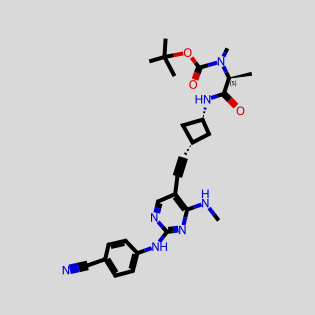 CNc1nc(Nc2ccc(C#N)cc2)ncc1C#C[C@H]1C[C@@H](NC(=O)[C@H](C)N(C)C(=O)OC(C)(C)C)C1